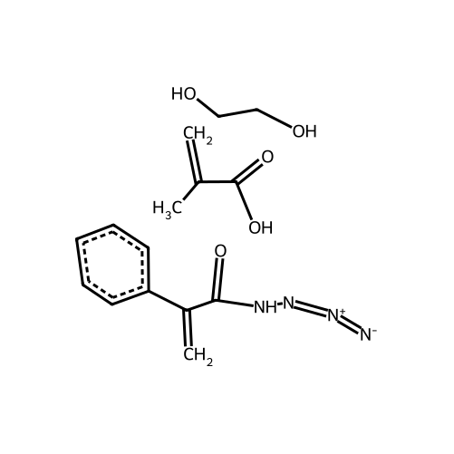 C=C(C(=O)NN=[N+]=[N-])c1ccccc1.C=C(C)C(=O)O.OCCO